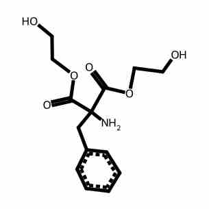 NC(Cc1ccccc1)(C(=O)OCCO)C(=O)OCCO